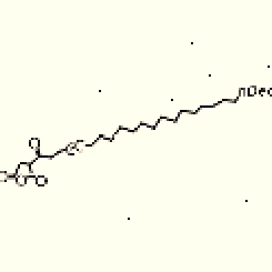 CCCCCCCCCCCCCCCCCCCCCCCCCCCCCC(=O)C1CC(=O)OC1=O